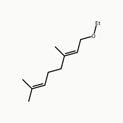 CCOC/C=C(\C)CCC=C(C)C